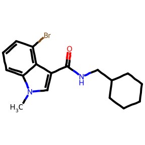 Cn1cc(C(=O)NCC2CCCCC2)c2c(Br)cccc21